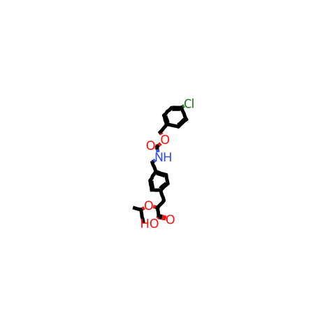 CC(C)OC(Cc1ccc(CNC(=O)OCc2ccc(Cl)cc2)cc1)C(=O)O